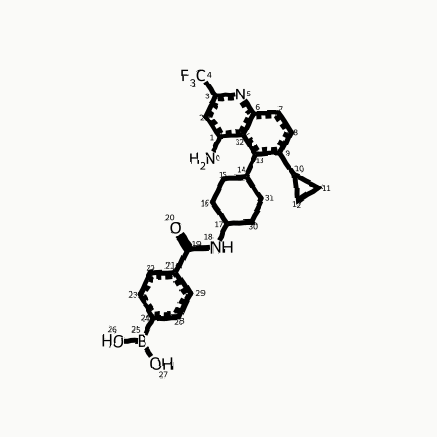 Nc1cc(C(F)(F)F)nc2ccc(C3CC3)c(C3CCC(NC(=O)c4ccc(B(O)O)cc4)CC3)c12